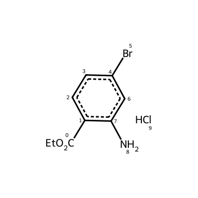 CCOC(=O)c1ccc(Br)cc1N.Cl